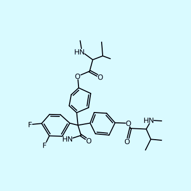 CNC(C(=O)Oc1ccc(C2(c3ccc(OC(=O)C(NC)C(C)C)cc3)C(=O)Nc3c2ccc(F)c3F)cc1)C(C)C